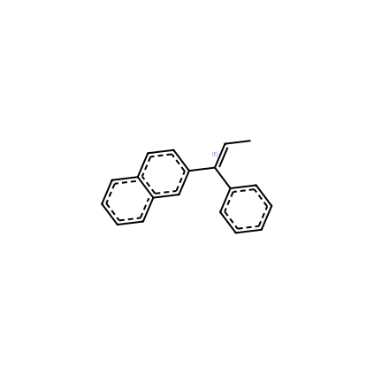 C/C=C(\c1ccccc1)c1ccc2ccccc2c1